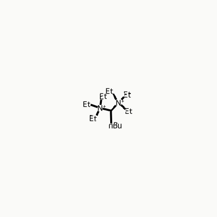 CCCCC([N+](CC)(CC)CC)[N+](CC)(CC)CC